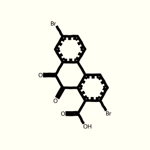 O=C1C(=O)c2c(ccc(Br)c2C(=O)O)-c2ccc(Br)cc21